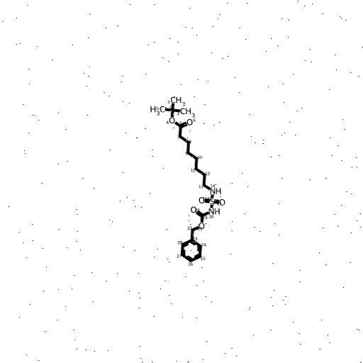 CC(C)(C)OC(=O)CCCCCCCNS(=O)(=O)NC(=O)OCc1ccccc1